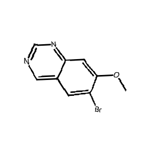 COc1cc2ncncc2cc1Br